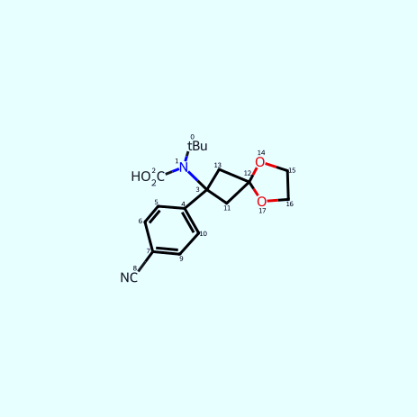 CC(C)(C)N(C(=O)O)C1(c2ccc(C#N)cc2)CC2(C1)OCCO2